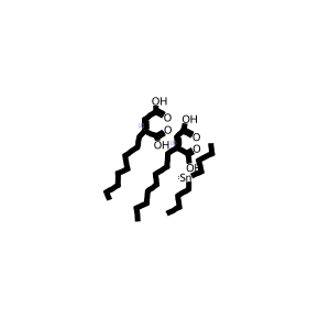 CCCCCCCC/C(=C/C(=O)O)C(=O)O.CCCCCCCC/C(=C/C(=O)O)C(=O)O.CCC[CH2][Sn][CH2]CCC